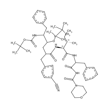 CC[C@H](C)[C@H](NC(=O)C(Cc1ccc(C#N)cc1)CC(O[Si](C)(C)C(C)(C)C)C(Cc1ccccc1)NC(=O)OC(C)(C)C)C(=O)NC(Cc1ccccc1)C(=O)NC(=O)N1CCOCC1